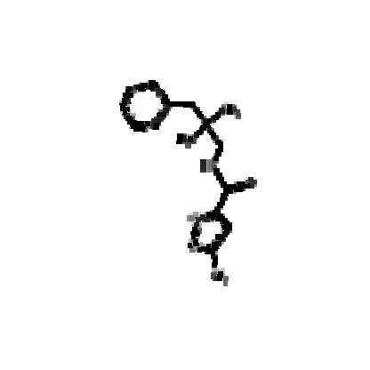 CC(C)(CNC(=O)c1cc(C(F)(F)F)n[nH]1)Cc1ccccc1